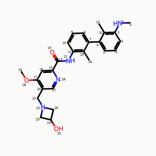 CNc1cccc(-c2cccc(NC(=O)c3cc(OC)c(CN4CC(O)C4)cn3)c2C)c1C